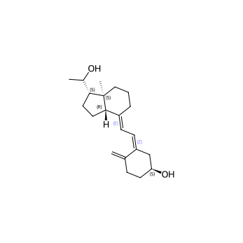 C=C1CC[C@H](O)C/C1=C/C=C1\CCC[C@]2(C)[C@@H](C(C)O)CC[C@@H]12